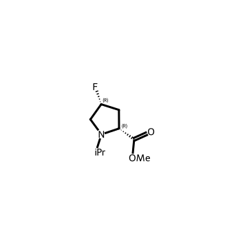 COC(=O)[C@H]1C[C@@H](F)CN1C(C)C